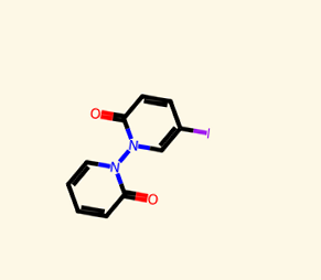 O=c1ccccn1-n1cc(I)ccc1=O